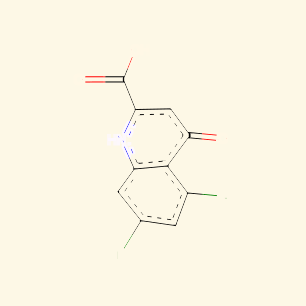 O=C(O)c1cc(=O)c2c(Br)cc(F)cc2[nH]1